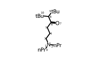 CCCN(CCC)CCCC(=O)C(C(C)(C)C)C(C)(C)C